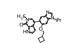 CC(C)n1cnc2cc(-c3cn(C)c(=O)c4[nH]ccc34)c(OCC3CCC3)cc21